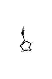 N#CC1=CSN[CH]1